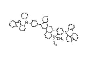 C[Si]1(C)c2cc(N(c3ccccc3)c3ccccc3-c3ccccc3)ccc2-c2cc3c4ccccc4c(-c4ccc(N(c5ccccc5)c5cccc6c5oc5ccccc56)cc4)cc3c3cccc1c23